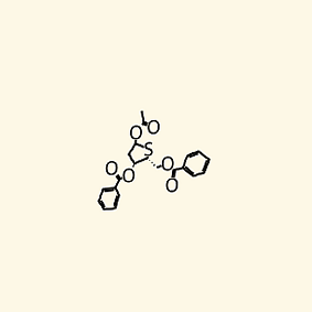 CC(=O)OC1C[C@@H](OC(=O)c2ccccc2)[C@@H](COC(=O)c2ccccc2)S1